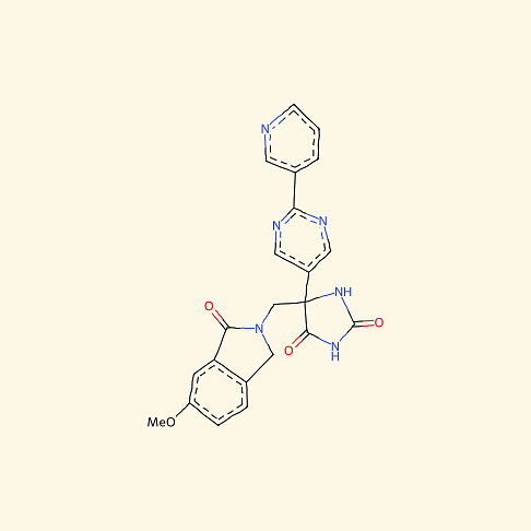 COc1ccc2c(c1)C(=O)N(CC1(c3cnc(-c4cccnc4)nc3)NC(=O)NC1=O)C2